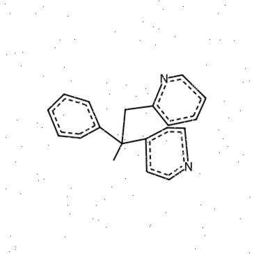 CC(Cc1ccccn1)(c1ccccc1)c1ccncc1